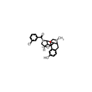 CN1CCC23c4cc(O)ccc4CC1C21CCC2C3[C@@H](CN2C(=O)c2cccc(Cl)c2)O1